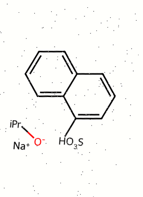 CC(C)[O-].O=S(=O)(O)c1cccc2ccccc12.[Na+]